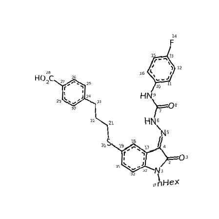 CCCCCCN1C(=O)/C(=N/NC(=O)Nc2ccc(F)cc2)c2cc(SCCCc3ccc(C(=O)O)cc3)ccc21